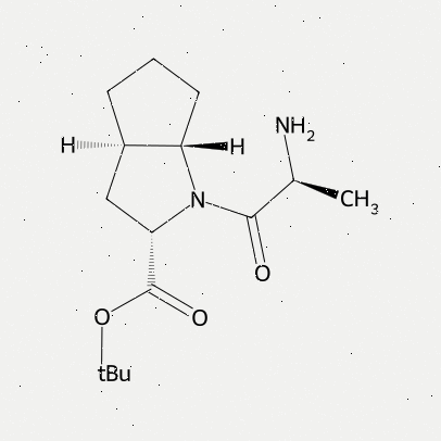 C[C@H](N)C(=O)N1[C@H](C(=O)OC(C)(C)C)C[C@H]2CCC[C@@H]21